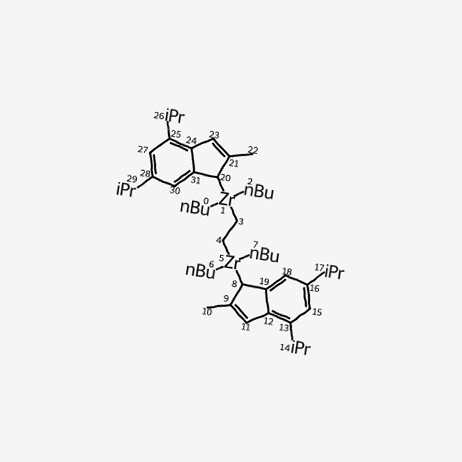 CCC[CH2][Zr]([CH2]CCC)([CH2][CH2][Zr]([CH2]CCC)([CH2]CCC)[CH]1C(C)=Cc2c(C(C)C)cc(C(C)C)cc21)[CH]1C(C)=Cc2c(C(C)C)cc(C(C)C)cc21